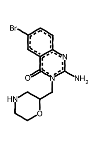 Nc1nc2ccc(Br)cc2c(=O)n1CC1CNCCO1